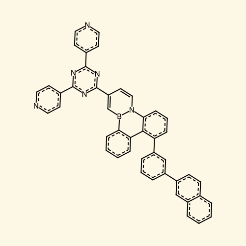 C1=CN2B(C=C1c1nc(-c3ccncc3)nc(-c3ccncc3)n1)c1ccccc1-c1c(-c3cccc(-c4ccc5ccccc5c4)c3)cccc12